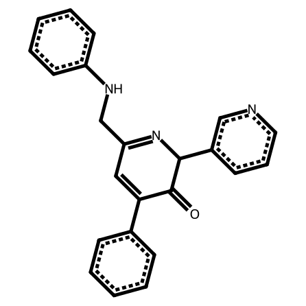 O=C1C(c2ccccc2)=CC(CNc2ccccc2)=NC1c1cccnc1